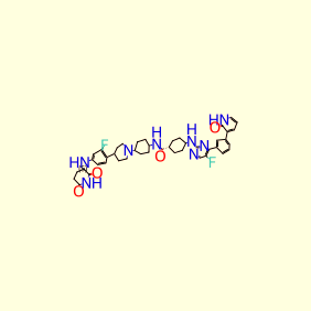 O=C1CC[C@H](Nc2ccc(C3CCN(C4CCC(NC(=O)[C@H]5CC[C@H](Nc6ncc(F)c(-c7cccc(-c8ccc[nH]c8=O)c7)n6)CC5)CC4)CC3)c(F)c2)C(=O)N1